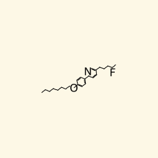 CCCCCCCCOc1ccc(-c2ccc(CCCC(C)F)cn2)cc1